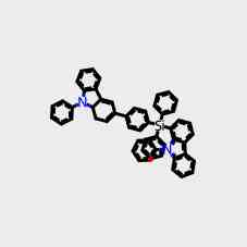 C1=C(c2ccc([Si](c3ccccc3)(c3ccccc3)c3cccc4c5ccccc5n(-c5ccccc5)c34)cc2)C=C2c3ccccc3N(c3ccccc3)C2C1